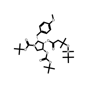 COc1ccc(C[C@@H]2[C@H](OC(=O)CC(C)(C)O[Si](C)(C)C(C)(C)C)[C@@H](OC(=O)OC(C)(C)C)CN2C(=O)OC(C)(C)C)cc1